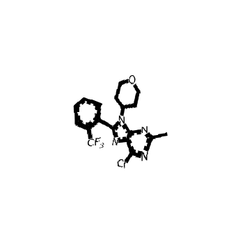 Cc1nc(Cl)c2nc(-c3ccccc3C(F)(F)F)n(C3CCOCC3)c2n1